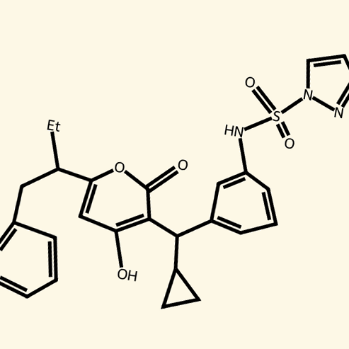 CCC(Cc1ccccc1)c1cc(O)c(C(c2cccc(NS(=O)(=O)n3cccn3)c2)C2CC2)c(=O)o1